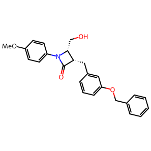 COc1ccc(N2C(=O)[C@@H](Cc3cccc(OCc4ccccc4)c3)[C@H]2CO)cc1